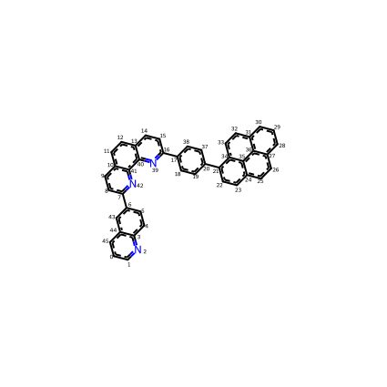 c1cnc2ccc(-c3ccc4ccc5ccc(-c6ccc(-c7ccc8ccc9cccc%10ccc7c8c9%10)cc6)nc5c4n3)cc2c1